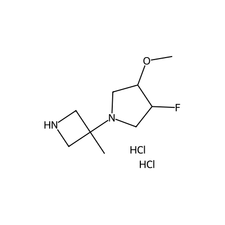 COC1CN(C2(C)CNC2)CC1F.Cl.Cl